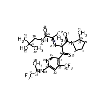 C/C(=N\C(C(=O)N1CCC[C@@H]1C)C(=S)c1cnc(N[C@@H](C)C(F)(F)F)cc1C(F)(F)F)C(=O)NCC(C)(C)O